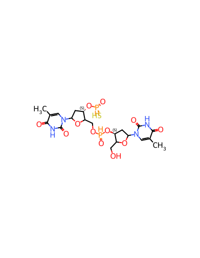 Cc1cn(C2C[C@H](O[PH](=O)S)C(CO[PH](=O)O[C@H]3CC(n4cc(C)c(=O)[nH]c4=O)OC3CO)O2)c(=O)[nH]c1=O